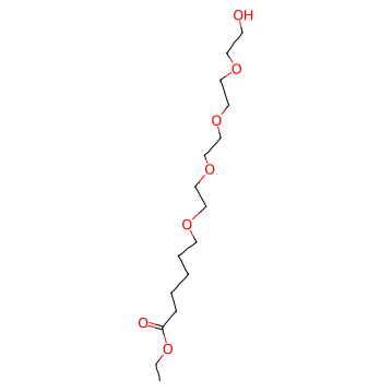 CCOC(=O)CCCCCOCCOCCOCCOCCO